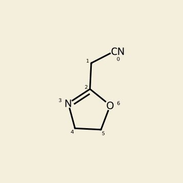 N#CCC1=NCCO1